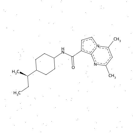 CC[C@@H](C)C1CCC(NC(=O)c2ccn3c(C)cc(C)nc23)CC1